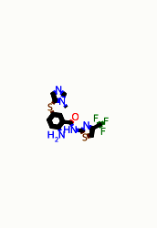 Cn1cncc1Sc1ccc(N)c(C(=O)Nc2nc(C(F)(F)F)cs2)c1